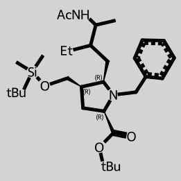 CCC(C[C@@H]1[C@H](CO[Si](C)(C)C(C)(C)C)C[C@H](C(=O)OC(C)(C)C)N1Cc1ccccc1)C(C)NC(C)=O